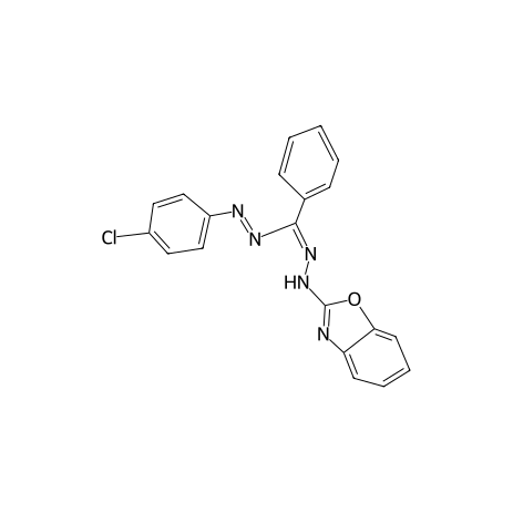 Clc1ccc(N=NC(=NNc2nc3ccccc3o2)c2ccccc2)cc1